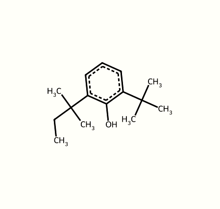 CCC(C)(C)c1cccc(C(C)(C)C)c1O